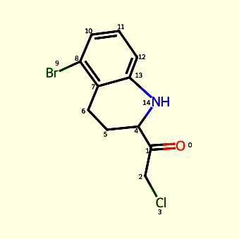 O=C(CCl)C1CCc2c(Br)cccc2N1